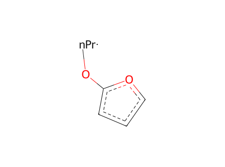 CC[CH]Oc1ccco1